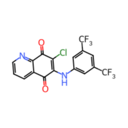 O=C1C(Nc2cc(C(F)(F)F)cc(C(F)(F)F)c2)=C(Cl)C(=O)c2ncccc21